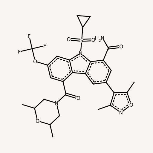 Cc1noc(C)c1-c1cc(C(N)=O)c2c(c1)c1c(C(=O)N3CC(C)OC(C)C3)cc(OC(F)(F)F)cc1n2S(=O)(=O)C1CC1